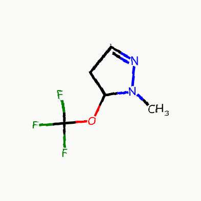 CN1N=[C]CC1OC(F)(F)F